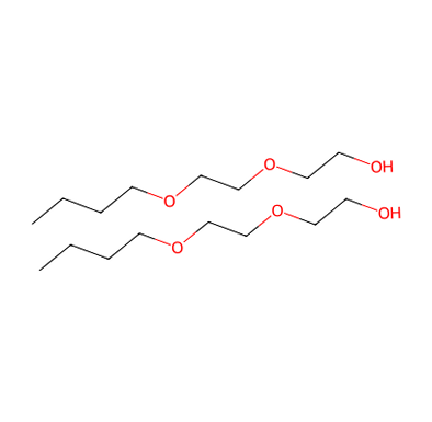 CCCCOCCOCCO.CCCCOCCOCCO